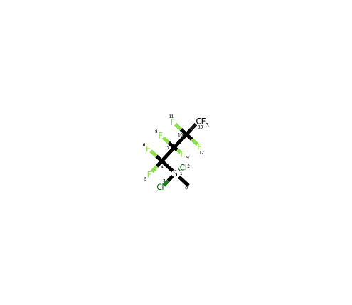 C[Si](Cl)(Cl)C(F)(F)C(F)(F)C(F)(F)C(F)(F)F